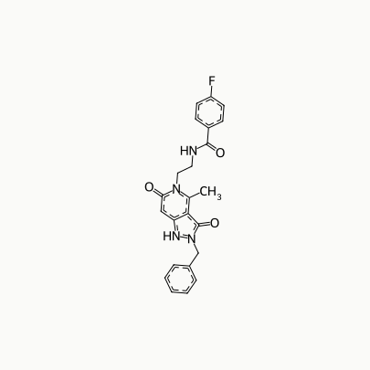 Cc1c2c(=O)n(Cc3ccccc3)[nH]c2cc(=O)n1CCNC(=O)c1ccc(F)cc1